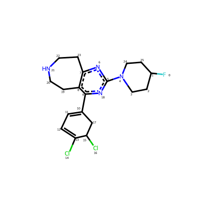 FC1CCN(c2nc3c(c(C4=CC=C(Cl)C(Cl)C4)n2)CCNCC3)CC1